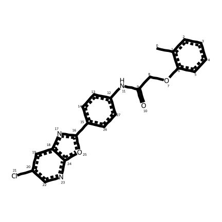 Cc1ccccc1OCC(=O)Nc1ccc(-c2nc3cc(Cl)cnc3o2)cc1